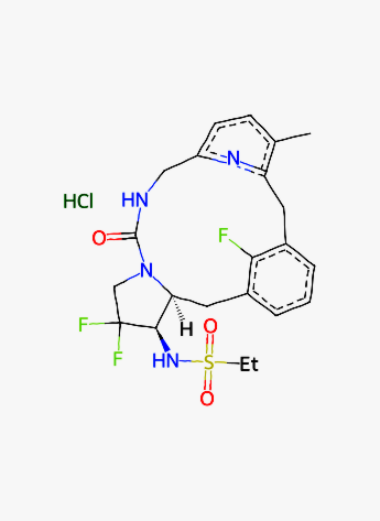 CCS(=O)(=O)N[C@@H]1[C@@H]2Cc3cccc(c3F)Cc3nc(ccc3C)CNC(=O)N2CC1(F)F.Cl